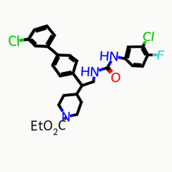 CCOC(=O)N1CCC(C(CNC(=O)Nc2ccc(F)c(Cl)c2)c2ccc(-c3cccc(Cl)c3)cc2)CC1